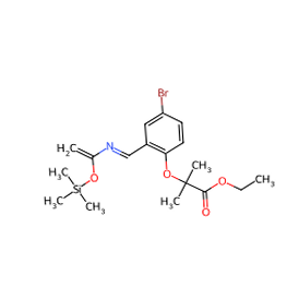 C=C(/N=C/c1cc(Br)ccc1OC(C)(C)C(=O)OCC)O[Si](C)(C)C